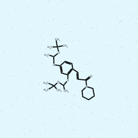 CC(Oc1ccc(/C=C/C(=O)N2CCCCC2)c(OC(C)OC(C)(C)C)c1)OC(C)(C)C